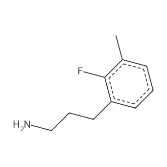 Cc1cccc(CCCN)c1F